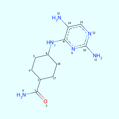 NC(=O)C1CCC(Nc2nc(N)ncc2N)CC1